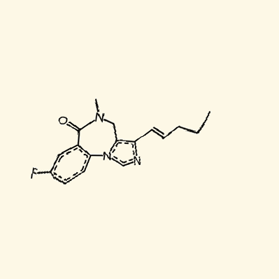 CCCC=Cc1ncn2c1CN(C)C(=O)c1cc(F)ccc1-2